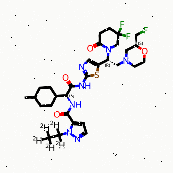 [2H]C([2H])([2H])C([2H])([2H])n1nccc1C(=O)N[C@H](C(=O)Nc1ncc([C@@H](CN2CCO[C@H](CF)C2)N2CC(F)(F)CCC2=O)s1)C1CCC(C)CC1